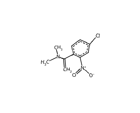 C=C(c1ccc(Cl)cc1[N+](=O)[O-])N(C)C